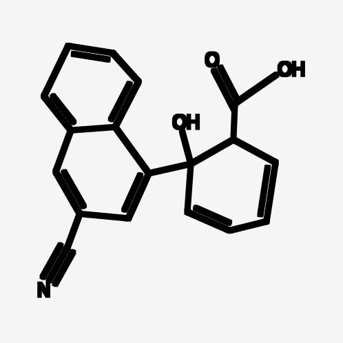 N#Cc1cc(C2(O)C=CC=CC2C(=O)O)c2ccccc2c1